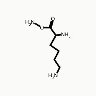 NCCCCC(N)C(=O)ON